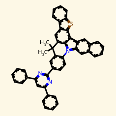 CC1(C)c2cc(-c3nc(-c4ccccc4)cc(-c4ccccc4)n3)ccc2-n2c3cc4ccccc4cc3c3c4sc5ccccc5c4cc1c32